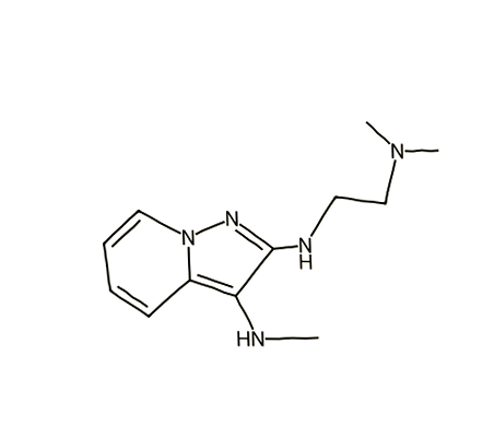 CNc1c(NCCN(C)C)nn2ccccc12